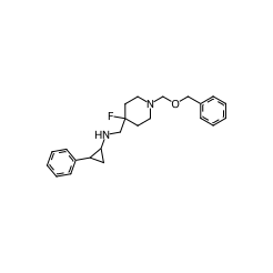 FC1(CNC2CC2c2ccccc2)CCN(COCc2ccccc2)CC1